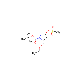 CCOC[C@H]1C[C@H](OS(C)(=O)=O)CN1C(=O)OC(C)(C)C